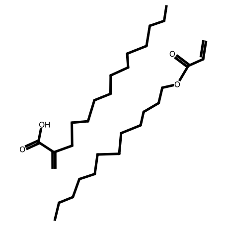 C=C(CCCCCCCCCCCC)C(=O)O.C=CC(=O)OCCCCCCCCCCCC